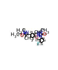 CCOc1c(C)c(-c2ccc(OCc3c(F)cccc3-n3nnn(C)c3=O)c(C)c2)nn1C